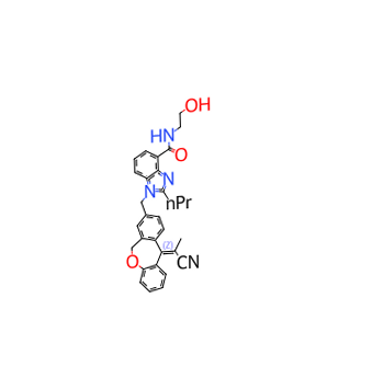 CCCc1nc2c(C(=O)NCCO)cccc2n1Cc1ccc2c(c1)COc1ccccc1/C2=C(/C)C#N